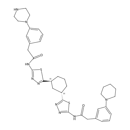 O=C(Cc1cccc(N2CCCCC2)c1)Nc1nnc([C@H]2CCC[C@H](c3nnc(NC(=O)Cc4cccc(N5CCNCC5)c4)s3)C2)s1